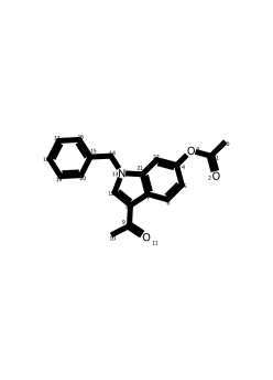 CC(=O)Oc1ccc2c(C(C)=O)cn(Cc3ccccc3)c2c1